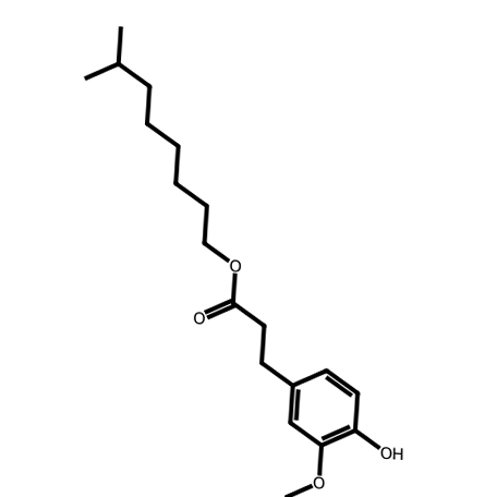 COc1cc(CCC(=O)OCCCCCCC(C)C)ccc1O